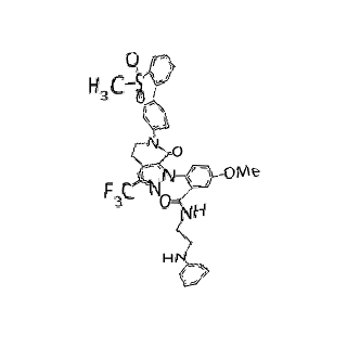 COc1ccc(-n2nc(C(F)(F)F)c3c2C(=O)N(c2ccc(-c4ccccc4S(C)(=O)=O)cc2)CC3)c(C(=O)NCCNc2ccccc2)c1